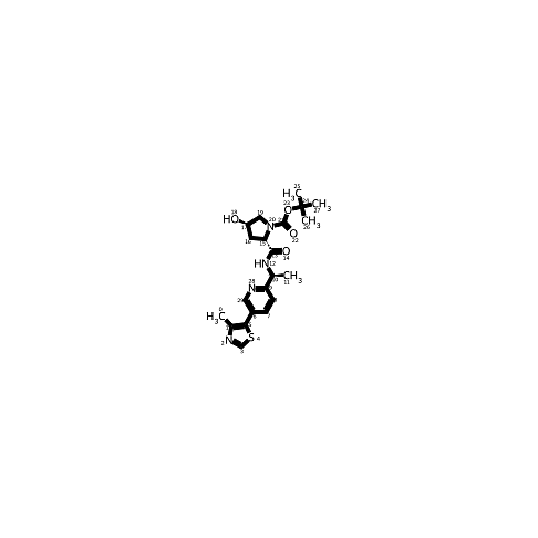 Cc1ncsc1-c1ccc([C@H](C)NC(=O)[C@@H]2C[C@@H](O)CN2C(=O)OC(C)(C)C)nc1